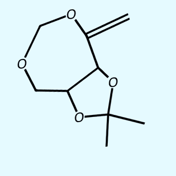 C=C1OCOCC2OC(C)(C)OC12